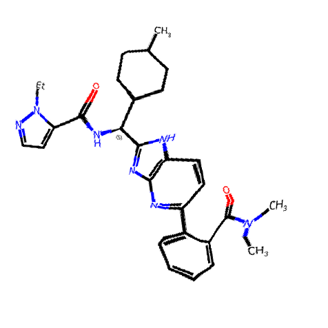 CCn1nccc1C(=O)N[C@H](c1nc2nc(-c3ccccc3C(=O)N(C)C)ccc2[nH]1)C1CCC(C)CC1